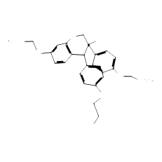 COCOc1ccc(C2(C)CSc3cc(OCOC)ccc3C2c2ccc(OCCCl)cc2)cc1